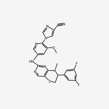 COc1cc(Nc2ncc3c(n2)N(C)C(c2cc(F)cc(F)c2)CO3)cnc1-n1cnc(C#N)c1